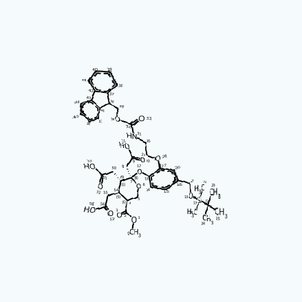 COC(=O)[C@@H]1CO[C@](CC(=O)O)(Oc2ccc(CO[Si](C)(C)C(C)(C)C)cc2OCCNC(=O)OCC2c3ccccc3-c3ccccc32)[C@@H](CC(=O)O)[C@@H]1CC(=O)O